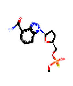 COP(O)(=S)OC[C@@H]1CC[C@H](n2nnc3c(C(N)=O)cccc32)O1